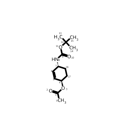 CC(=O)O[C@H]1C=C[C@H](NC(=O)OC(C)(C)C)CC1